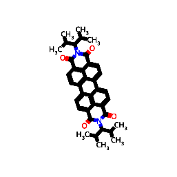 CC(C)C(C(C)C)N1C(=O)c2ccc3c4ccc5c6c(ccc(c7ccc(c2c37)C1=O)c64)C(=O)N(C(C(C)C)C(C)C)C5=O